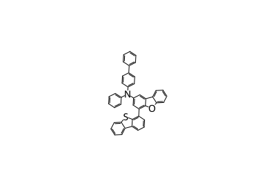 c1ccc(-c2ccc(N(c3ccccc3)c3cc(-c4cccc5c4sc4ccccc45)c4oc5ccccc5c4c3)cc2)cc1